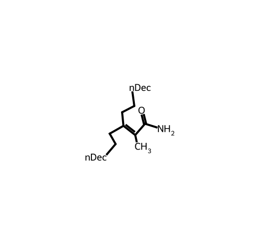 CCCCCCCCCCCCC(CCCCCCCCCCCC)=C(C)C(N)=O